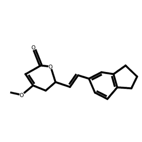 COC1=CC(=O)OC(/C=C/c2ccc3c(c2)CCC3)C1